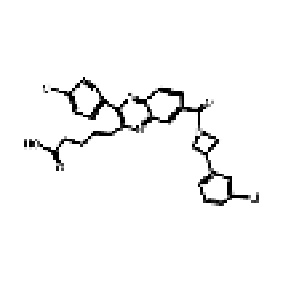 O=C(O)CCCCc1nc2cc(C(=O)N3CC(c4cccc(Cl)c4)C3)ccc2nc1-c1ccc(Cl)cc1